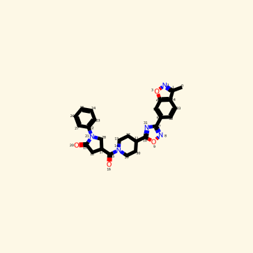 Cc1noc2cc(-c3noc(C4CCN(C(=O)C5CC(=O)N(c6ccccc6)C5)CC4)n3)ccc12